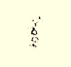 CC(=O)NC[C@@H](CNc1ccc(N2CCNN(C(N)=O)CC2)c(F)c1)OC=O